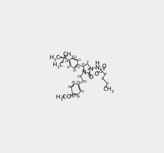 CCCCS(=O)(=O)NN1CC(c2ccc(C(C)(C)C)cc2)N(CCc2ccc(OC)cc2)C1=O